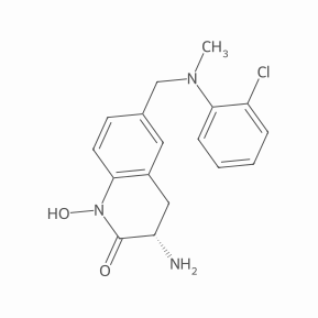 CN(Cc1ccc2c(c1)C[C@H](N)C(=O)N2O)c1ccccc1Cl